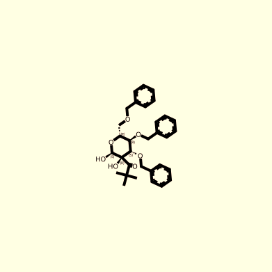 CC(C)(C)C(=O)[C@]1(O)[C@@H](O)O[C@H](COCc2ccccc2)[C@@H](OCc2ccccc2)[C@@H]1OCc1ccccc1